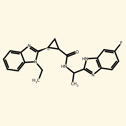 CCn1c([C@H]2CC2C(=O)NC(C)c2nc3ccc(F)cc3[nH]2)nc2ccccc21